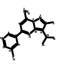 Cc1nn2c(N)cc(-c3cncc(F)c3)nc2c1C(C)C